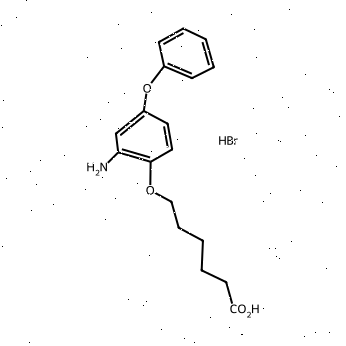 Br.Nc1cc(Oc2ccccc2)ccc1OCCCCCC(=O)O